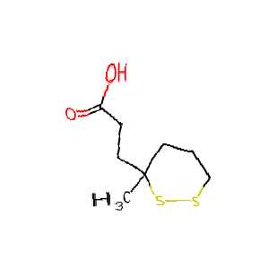 CC1(CCC(=O)O)CCCSS1